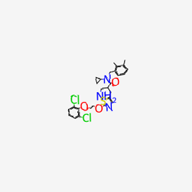 Cc1cccc(CN(C(=O)C(CN)Cc2cnc(OCCOc3c(Cl)cccc3Cl)s2)C2CC2)c1C